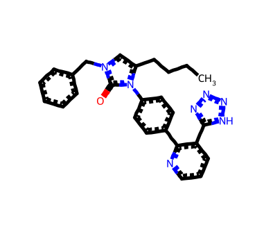 CCCCc1cn(Cc2ccccc2)c(=O)n1-c1ccc(-c2ncccc2-c2nnn[nH]2)cc1